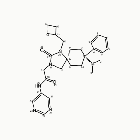 CN(C)[C@]1(c2ccccc2)CC[C@]2(CC1)CN(CC(=O)Nc1cncnc1)C(=O)N2CC1CCC1